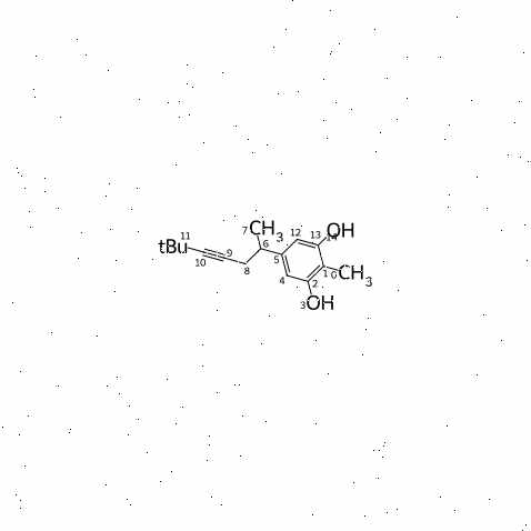 Cc1c(O)cc(C(C)CC#CC(C)(C)C)cc1O